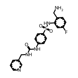 NCc1ccc(F)cc1NS(=O)(=O)c1ccc(NC(=O)NCc2cccnc2)cc1